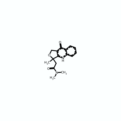 CN(C)C(=O)CC1(C)OCc2c1[nH]c1ccccc1c2=O